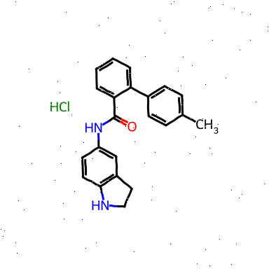 Cc1ccc(-c2ccccc2C(=O)Nc2ccc3c(c2)CCN3)cc1.Cl